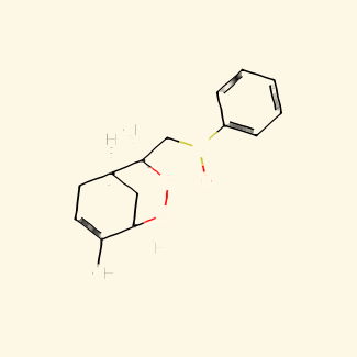 CC1=CC[C@@H]2C[C@H]1OO[C@]2(C)C[S+]([O-])c1ccccc1